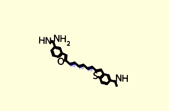 CC(=N)c1ccc2sc(/C=C/C=C/C=C/c3cc4cc(C(=N)N)ccc4o3)cc2c1